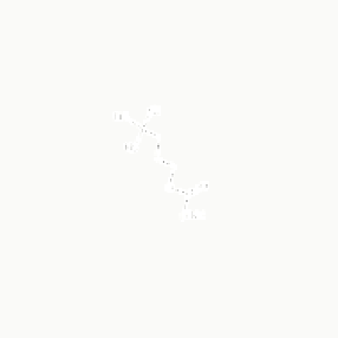 CCCCCCC(=O)OCCCC(S)(S)S